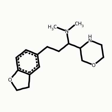 CN(C)C(CCc1ccc2c(c1)CCO2)C1COCCN1